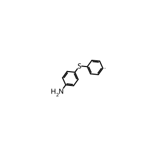 Nc1ccc(Sc2cc[c]cc2)cc1